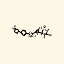 CN1C(=N)N[C@](C)(c2sc(C3NN=C(c4ccc(C5CCC(F)(F)C5)cc4)O3)cc2Cl)C[S+]1[O-]